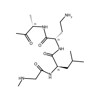 CNCC(=O)N[C@H](CC(C)C)C(=O)N[C@@H](CCN)C(=O)N[C@@H](C)C(C)=O